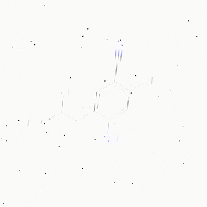 CC(C)Cc1cc(C#N)c(Cl)cc1N